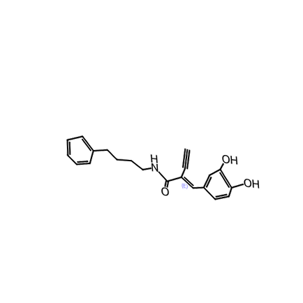 C#C/C(=C\c1ccc(O)c(O)c1)C(=O)NCCCCc1ccccc1